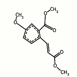 COC(=O)/C=C/c1ccc(OC)cc1C(=O)OC